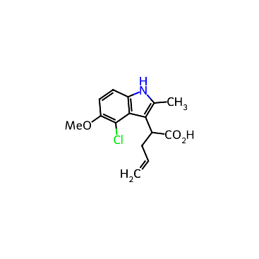 C=CCC(C(=O)O)c1c(C)[nH]c2ccc(OC)c(Cl)c12